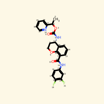 CC(OC(=O)N[C@H]1CCOc2c(C(=O)Nc3ccc(F)c(F)c3)cccc21)c1ccccn1